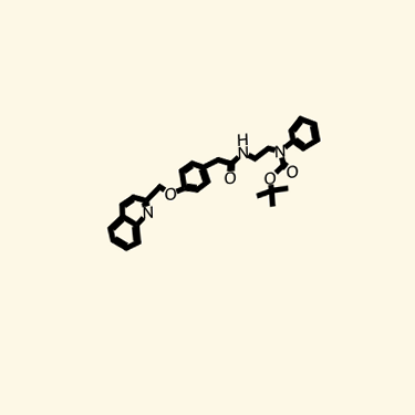 CC(C)(C)OC(=O)N(CCNC(=O)Cc1ccc(OCc2ccc3ccccc3n2)cc1)c1ccccc1